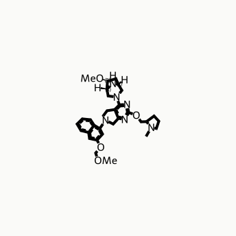 COCOc1cc(N2CCc3c(nc(OCC4CCCN4C)nc3N3C[C@H]4C[C@@H](OC)[C@@H](C3)N4)C2)c2ccccc2c1